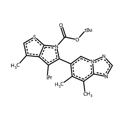 Cc1c(-c2c(C(C)C)c3c(C)csc3n2C(=O)OC(C)(C)C)cn2ncnc2c1C